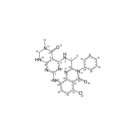 CC(Nc1nc(N)nc2c1C(=O)N(C)CN2)c1nc2cccc(Cl)c2c(=O)n1-c1ccccc1